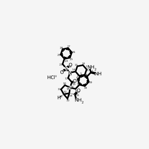 Cl.N=C(N)c1ccc(C[N+]2(C(=O)CN(C3CCCCC3)S(=O)(=O)Cc3ccccc3)CC[C@@H]3C[C@@]32C(N)=O)cc1